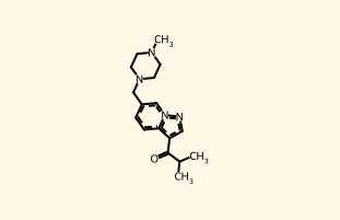 CC(C)C(=O)c1cnn2cc(CN3CCN(C)CC3)ccc12